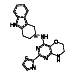 c1ccc2c3c([nH]c2c1)CC[C@@H](Nc1nc(-c2nccs2)nc2c1OCCN2)C3